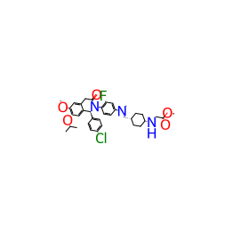 COC(=O)CN[C@H]1CC[C@@H](CN(C)c2ccc(N3C(=O)Cc4cc(OC)c(OC(C)C)cc4[C@@H]3c3ccc(Cl)cc3)c(F)c2)CC1